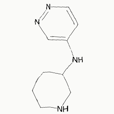 c1cc(NC2CCCNC2)cnn1